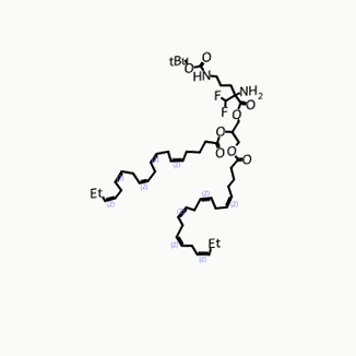 CC/C=C\C/C=C\C/C=C\C/C=C\C/C=C\CCCC(=O)OCC(COC(=O)C(N)(CCCNC(=O)OC(C)(C)C)C(F)F)OC(=O)CCC/C=C\C/C=C\C/C=C\C/C=C\C/C=C\CC